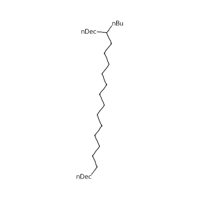 [CH2]CCCC(CCCCCCCCCC)CCCCCCCCCCCCCCCCCCCCCCC